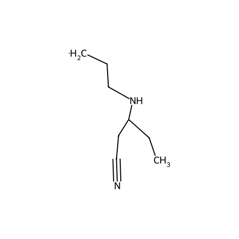 [CH2]CCNC(CC)CC#N